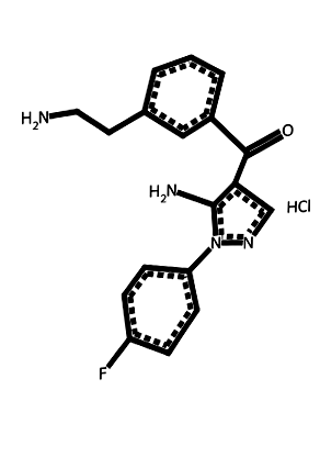 Cl.NCCc1cccc(C(=O)c2cnn(-c3ccc(F)cc3)c2N)c1